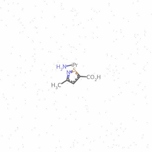 CC(C)N.Cc1cc(C(=O)O)sn1